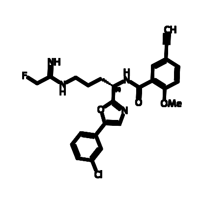 C#Cc1ccc(OC)c(C(=O)N[C@@H](CCCNC(=N)CF)c2ncc(-c3cccc(Cl)c3)o2)c1